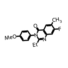 CCc1nc2cc(F)c(C)cc2c(=O)n1-c1ccc(OC)cc1